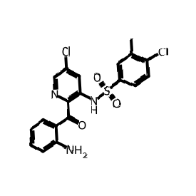 Cc1cc(S(=O)(=O)Nc2cc(Cl)cnc2C(=O)c2ccccc2N)ccc1Cl